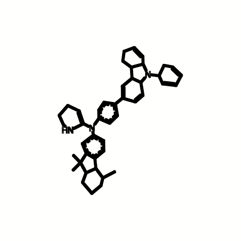 CC1CCCC2C1c1ccc(N(C3=CCCCN3)c3ccc(C4=CC5C6CCC=CC6N(C6C=CC=CC6)C5C=C4)cc3)cc1C2(C)C